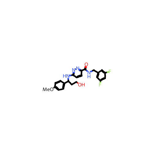 COc1ccc(C(CCO)Nc2ccc(C(=O)NCc3cc(F)cc(F)c3)nn2)cc1